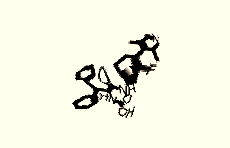 Cc1cncc(C)c1-c1ccc(NC(=O)[C@@H](NC(=O)O)C(c2ccccc2)c2ccccc2)cc1F